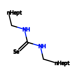 CCCCCCCCNC(=[Se])NCCCCCCCC